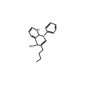 CCCCC1=CN(c2ccccc2)C2NC=CC=C2C1O